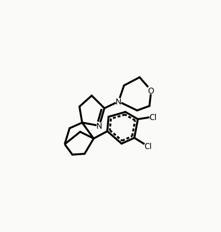 Clc1ccc(C23CCC(CC24CCC(N2CCOCC2)=N4)C3)cc1Cl